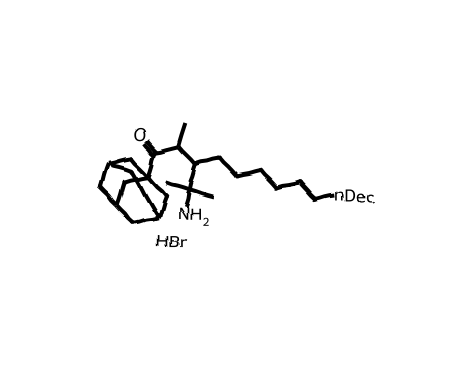 Br.CCCCCCCCCCCCCCCCC(C(C)C(=O)C12CC3CC(CC(C3)C1)C2)C(C)(C)N